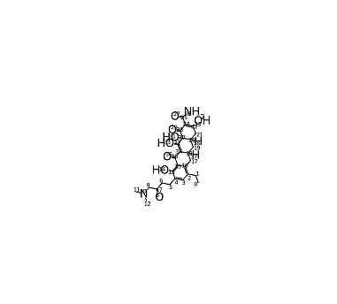 CCc1cc(CCC(=O)CN(C)C)c(O)c2c1C[C@H]1C[C@H]3CC(O)=C(C(N)=O)C(=O)[C@@]3(O)C(O)=C1C2=O